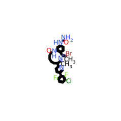 C/C1=N\C(=C(/C)Br)c2ccc(NC(N)=O)cc2NC(=O)CCCCC1c1ccc(-c2c(F)ccc(Cl)c2F)cn1